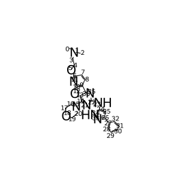 CN(C)CCOc1ccc2c(n1)oc1c(N3CCOCC3)nc(Nc3cc(-c4ccccc4)n[nH]3)nc12